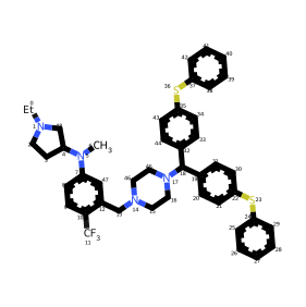 CCN1CCC(N(C)c2ccc(C(F)(F)F)c(CN3CCN(C(c4ccc(Sc5ccccc5)cc4)c4ccc(Sc5ccccc5)cc4)CC3)c2)C1